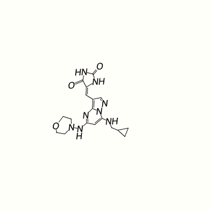 O=C1NC(=O)/C(=C/c2cnn3c(NCC4CC4)cc(NN4CCOCC4)nc23)N1